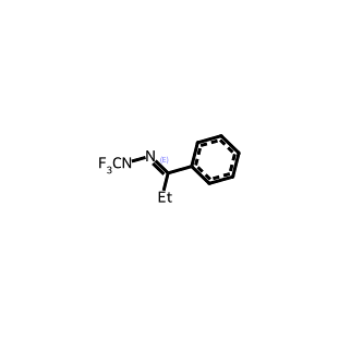 CC/C(=N\NC(F)(F)F)c1ccccc1